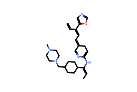 C=C/C(=C\C=C1\C=NC(N/C(=C/C)C2CCC(CN3CCN(C)CC3)CC2)=CC1)c1cnco1